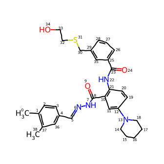 Cc1ccc(/C=N/NC(=O)c2cc(N3CCCCC3)ccc2NC(=O)c2cccc(CSCCO)c2)cc1C